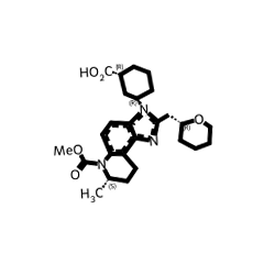 COC(=O)N1c2ccc3c(nc(C[C@H]4CCCCO4)n3[C@@H]3CCC[C@@H](C(=O)O)C3)c2CC[C@@H]1C